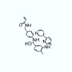 C=CC(=O)NCc1ccc(NC(O)c2ccc(C)c(Nc3nccc(-c4cccnc4)n3)c2)cc1